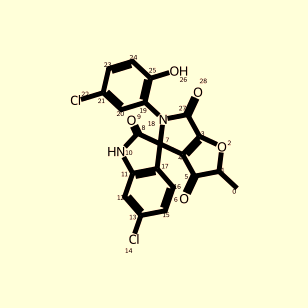 CC1OC2=C(C1=O)C1(C(=O)Nc3cc(Cl)ccc31)N(c1cc(Cl)ccc1O)C2=O